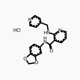 Cl.O=C(Nc1ccc2c(c1)OCO2)c1cccnc1NCc1ccncc1